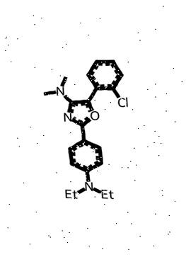 CCN(CC)c1ccc(-c2nc(N(C)C)c(-c3ccccc3Cl)o2)cc1